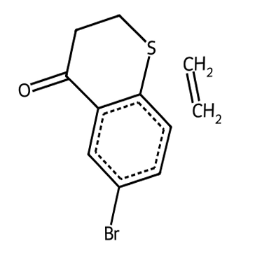 C=C.O=C1CCSc2ccc(Br)cc21